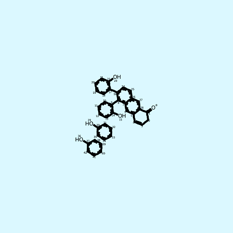 O=C1CC=Cc2cc3c(-c4ccccc4O)c(-c4ccccc4O)ccc3cc21.Oc1ccccc1.Oc1ccccc1